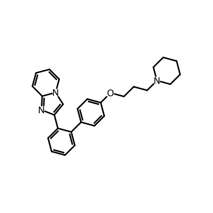 c1ccc(-c2cn3ccccc3n2)c(-c2ccc(OCCCN3CCCCC3)cc2)c1